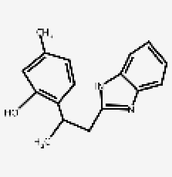 Cc1ccc(C(C)Cc2nc3ccccc3[nH]2)c(O)c1